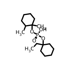 CCC1(OP(=O)(O)OC2(C)CCCCC2C)CCCCC1